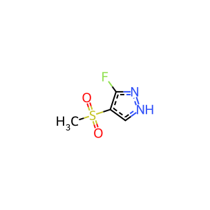 CS(=O)(=O)c1c[nH]nc1F